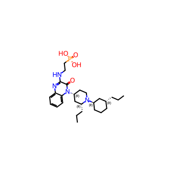 CCC[C@@H]1CCC[C@@H](N2CC[C@@H](n3c(=O)c(NCCP(=O)(O)O)nc4ccccc43)C[C@H]2CCC)C1